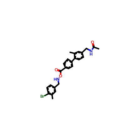 CC(=O)NCc1ccc(-c2ccc(C(=O)ONCc3ccc(Br)c(C)c3)cc2)c(C)c1